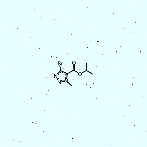 CC(C)OC(=O)c1c(Br)nnn1C